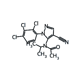 CC(=O)N(c1c(C#N)cnn1-c1ccc(Cl)c(Cl)c1Cl)C(C)C